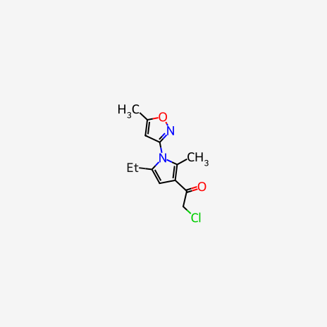 CCc1cc(C(=O)CCl)c(C)n1-c1cc(C)on1